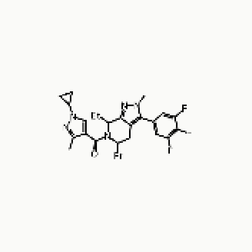 CCC1Cc2c(nn(C)c2-c2cc(F)c(F)c(F)c2)C(CC)N1C(=O)c1cn(C2CC2)nc1C